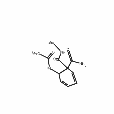 CCCCNC(=O)C1(C(N)=O)C=CC=CC1NC(=O)OC